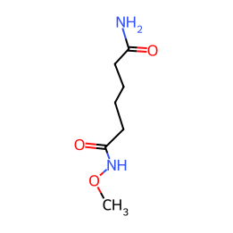 CONC(=O)CCCCC(N)=O